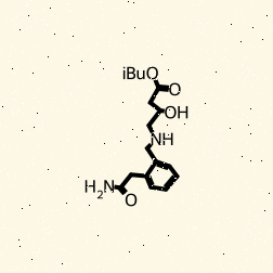 CC(C)COC(=O)CC(O)CNCc1ccccc1CC(N)=O